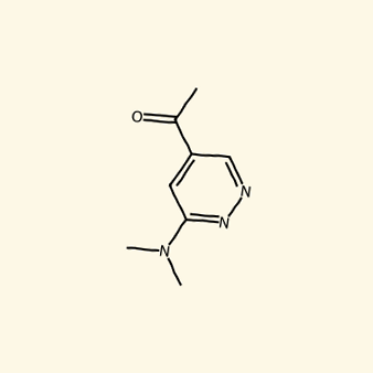 CC(=O)c1cnnc(N(C)C)c1